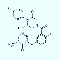 Cc1[c]nnc(Cc2ccc(F)c(C(=O)N3CC(=O)N(c4ccc(F)cc4)[C@@H](C)C3)c2)c1C